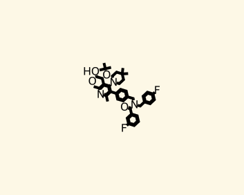 Cc1nc(C)c([C@H](OC(C)(C)C)C(=O)O)c(N2CCC(C)(C)CC2)c1-c1ccc(CN(Cc2ccc(F)cc2)C(=O)c2cccc(F)c2)cc1